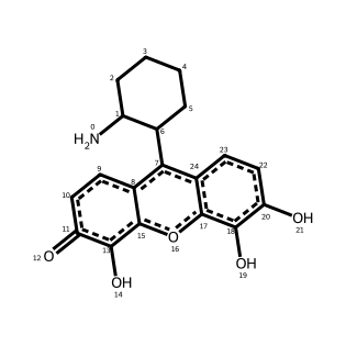 NC1CCCCC1c1c2ccc(=O)c(O)c-2oc2c(O)c(O)ccc12